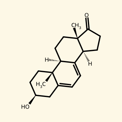 C[C@]12CC[C@H](O)CC1=CC=C1[C@@H]2CC[C@]2(C)C(=O)CC[C@@H]12